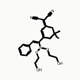 CC1(C)CC(C(=Cc2ccccc2)N(OCCO)OCCO)=CC(=C(C#N)C#N)C1